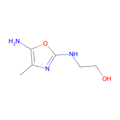 Cc1nc(NCCO)oc1N